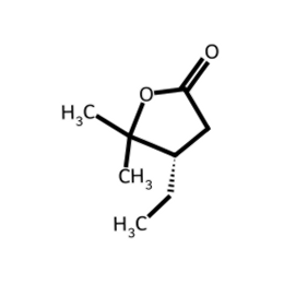 CC[C@H]1CC(=O)OC1(C)C